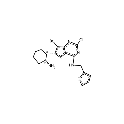 N[C@H]1CCCC[C@@H]1c1sc2c(NCc3ccco3)nc(Cl)nc2c1Br